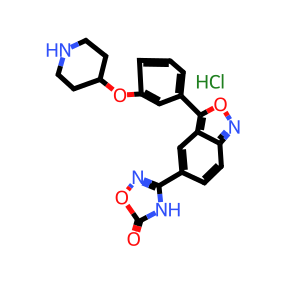 Cl.O=c1[nH]c(-c2ccc3noc(-c4cccc(OC5CCNCC5)c4)c3c2)no1